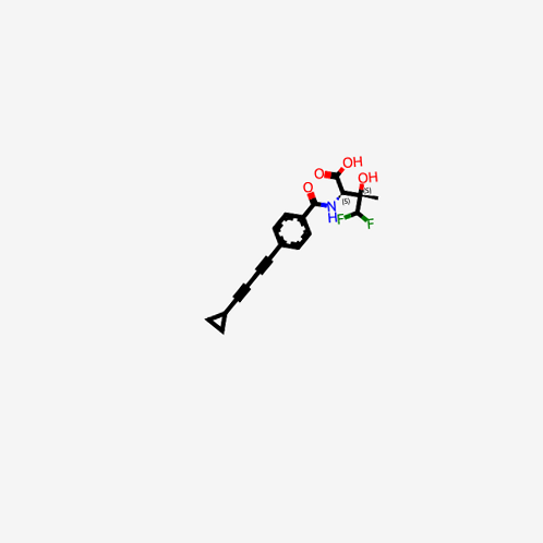 C[C@@](O)(C(F)F)[C@H](NC(=O)c1ccc(C#CC#CC2CC2)cc1)C(=O)O